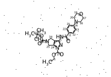 CCOC(=O)n1nc(NC(=O)c2ccc(N3CCOCC3)cc2)c2c1CN(C(=O)OC(C)(C)C)C2